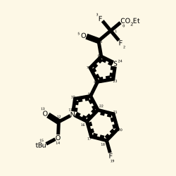 CCOC(=O)C(F)(F)C(=O)c1cc(-c2cn(C(=O)OC(C)(C)C)c3cc(F)ccc23)cs1